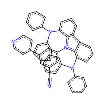 N#Cc1cc(-c2ccncc2)cc(-n2c3c(N(c4ccccc4)c4ccccc4)cccc3c3cccc(N(c4ccccc4)c4ccccc4)c32)c1